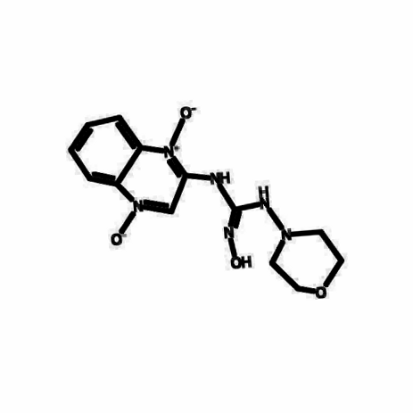 [O-][n+]1cc(NC(=NO)NN2CCOCC2)[n+]([O-])c2ccccc21